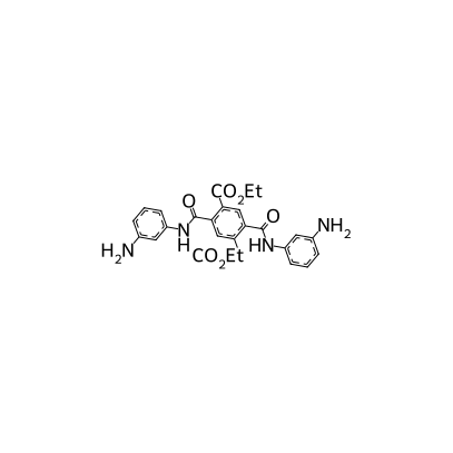 CCOC(=O)c1cc(C(=O)Nc2cccc(N)c2)c(C(=O)OCC)cc1C(=O)Nc1cccc(N)c1